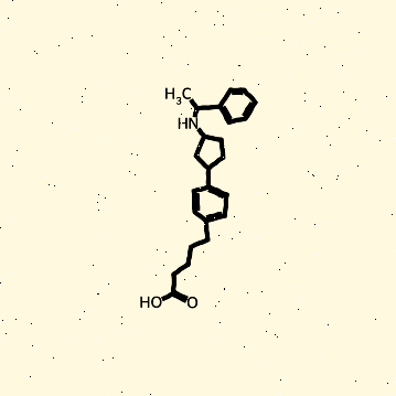 CC(NC1CCC(c2ccc(CCCCC(=O)O)cc2)C1)c1ccccc1